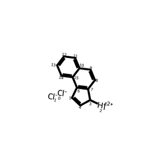 [Cl-].[Cl-].[Hf+2][CH]1C=Cc2c1ccc1ccccc21